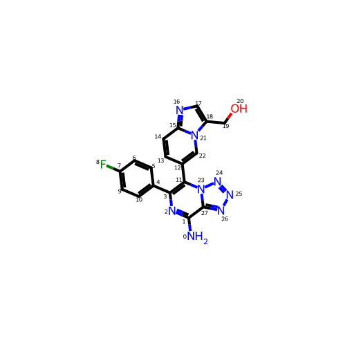 Nc1nc(-c2ccc(F)cc2)c(-c2ccc3ncc(CO)n3c2)n2nnnc12